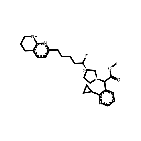 O=C(OI)C(c1cccnc1C1CC1)N1CC[C@@H](C(F)CCCCc2ccc3c(n2)NCCC3)C1